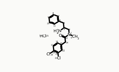 CN(CC(N)Cc1ccccc1)C(=O)Cc1ccc(Cl)c(Cl)c1.Cl